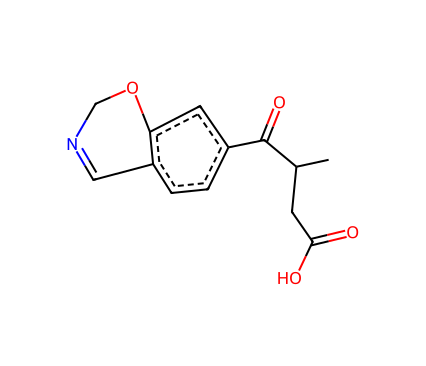 CC(CC(=O)O)C(=O)c1ccc2c(c1)OCN=C2